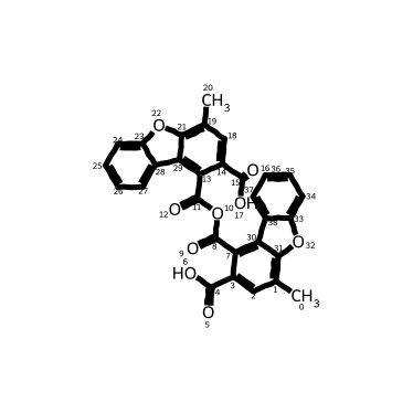 Cc1cc(C(=O)O)c(C(=O)OC(=O)c2c(C(=O)O)cc(C)c3oc4ccccc4c23)c2c1oc1ccccc12